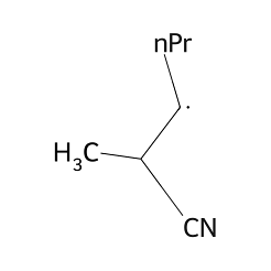 CCC[CH]C(C)C#N